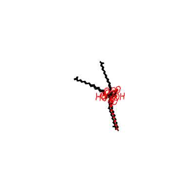 CC(C)CCCCCCCCCCCCC(=O)OC1=C(O)C(=O)O[C@]1(C(=O)CCCCCCCCCCCCC(C)C)[C@](CO)(OC(=O)CCCCCCCCCCCCC(C)C)C(=O)CCCCCCCCCCCCC(C)C